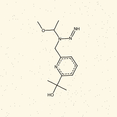 COC(C)N(Cc1cccc(C(C)(C)O)n1)N=N